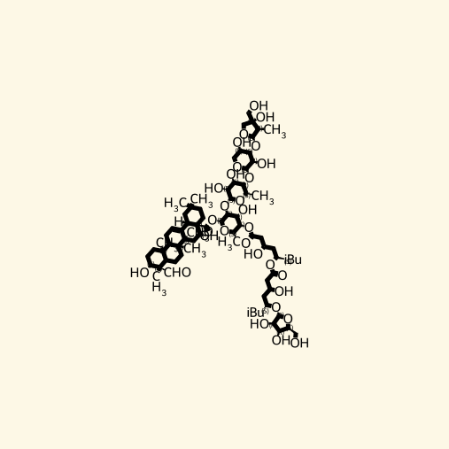 CC[C@H](C)C(CC(O)CC(=O)O[C@H]1[C@@H](O)[C@H](O[C@@H]2O[C@@H](C)[C@H](O[C@@H]3OC[C@@H](O)[C@H](O[C@@H]4OC[C@](O)(CO)[C@H]4C)[C@H]3O)[C@@H](O)[C@H]2O)[C@@H](OC(=O)[C@]23CCC(C)(C)C[C@H]2C2=CCC4[C@@]5(C)CC[C@H](O)[C@@](C)(C=O)C5CC[C@@]4(C)[C@]2(C)C[C@H]3O)O[C@H]1C)OC(=O)CC(O)CC(O[C@@H]1O[C@@H](CO)[C@H](O)[C@H]1O)[C@@H](C)CC